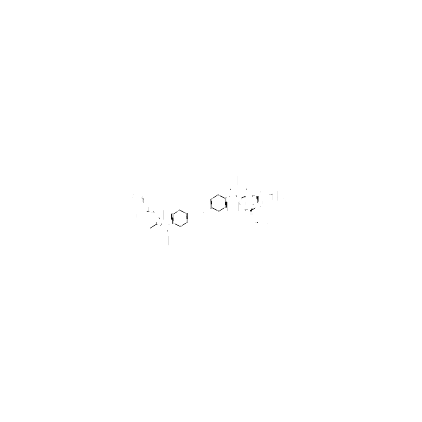 C=C(NC(=O)OC(C)(C)C)Nc1ccc(CCc2ccc(N/C(=N/C(=O)OC(C)(C)C)NC(=O)OC(C)(C)C)cc2)cc1